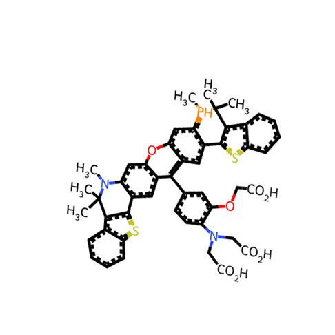 CN1c2cc3c(cc2-c2sc4ccccc4c2C1(C)C)C(c1ccc(N(CC(=O)O)CC(=O)O)c(OCC(=O)O)c1)=c1cc2c(cc1O3)=[PH](C)C(C)(C)c1c-2sc2ccccc12